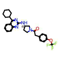 O=C(Cc1ccc(OC(F)(F)F)cc1)N1CC[C@H](Nc2nc(C3CCCCC3)c3ccccc3n2)C1